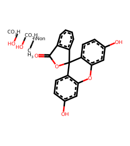 CCCCCCCCCC.O=C(O)O.O=C(O)O.O=C1OC2(c3ccc(O)cc3Oc3cc(O)ccc32)c2ccccc21